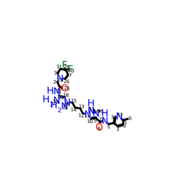 Cc1ccc(CNC(=O)C2=CN(CCCCN(N)/C=C(\N)NC(=O)CN3CCC(F)(F)CC3)NN2C)cn1